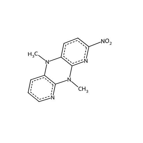 CN1c2cccnc2N(C)c2nc([N+](=O)[O-])ccc21